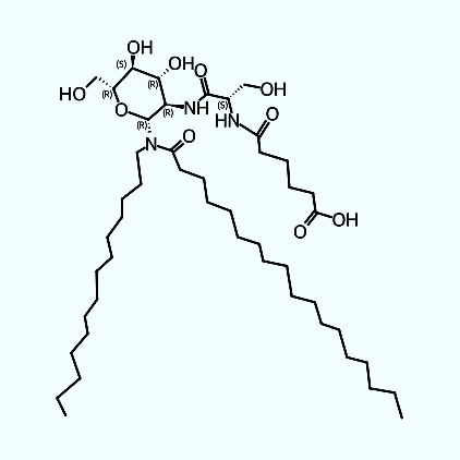 CCCCCCCCCCCCCCCCCC(=O)N(CCCCCCCCCCCCCC)[C@@H]1O[C@H](CO)[C@@H](O)[C@H](O)[C@H]1NC(=O)[C@H](CO)NC(=O)CCCCC(=O)O